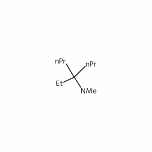 CCCC(CC)(CCC)NC